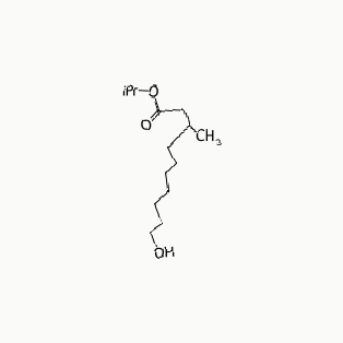 [CH2]C([CH2])OC(=O)CC(C)CCCCCCCO